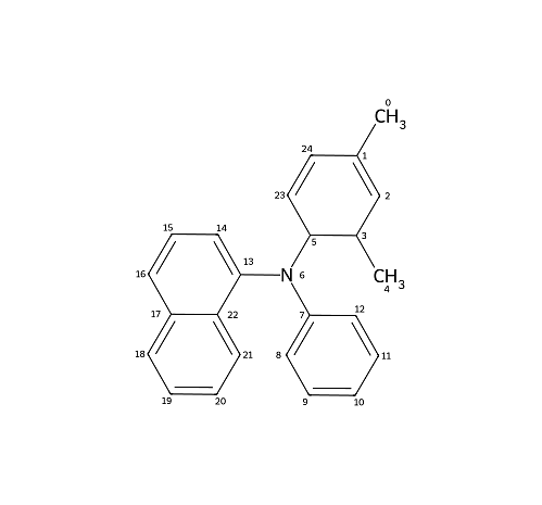 CC1=CC(C)C(N(c2ccccc2)c2cccc3ccccc23)C=C1